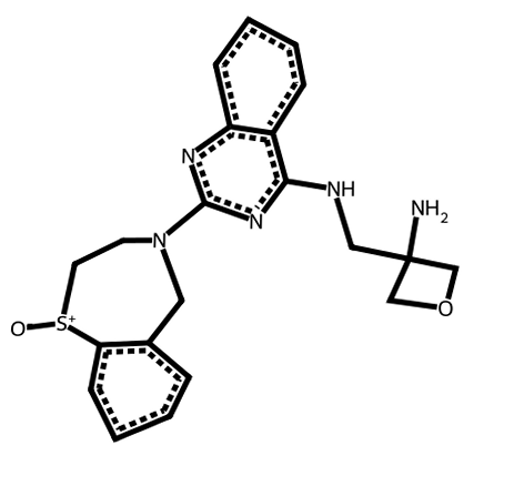 NC1(CNc2nc(N3CC[S+]([O-])c4ccccc4C3)nc3ccccc23)COC1